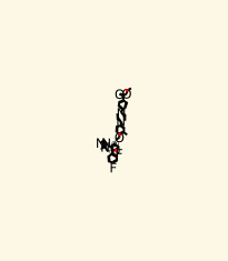 CCOC(=O)c1ccc(N2CCN(c3ccc(OC[C@@H]4CO[C@@](Cn5cncn5)(c5ccc(F)cc5F)C4)c(C)c3)CC2)cc1